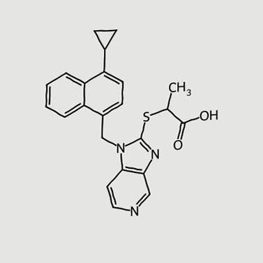 CC(Sc1nc2cnccc2n1Cc1ccc(C2CC2)c2ccccc12)C(=O)O